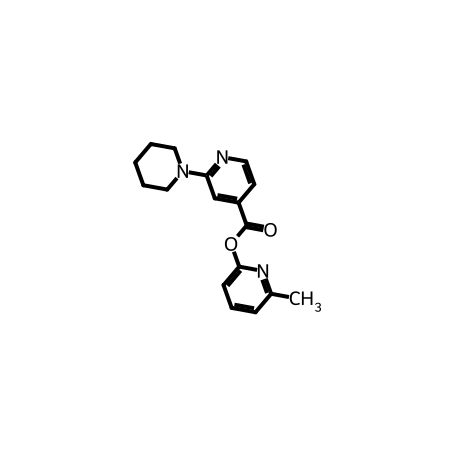 Cc1cccc(OC(=O)c2ccnc(N3CCCCC3)c2)n1